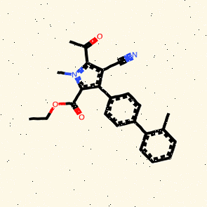 CCOC(=O)c1c(-c2ccc(-c3ccccc3C)cc2)c(C#N)c(C(C)=O)n1C